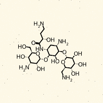 NCC[C@H](O)C(=O)N[C@@H]1C[C@H](N)[C@@H](O[C@H]2O[C@H](CN)[C@@H](O)[C@@H](O)[C@@H]2O)[C@@H](O)[C@H]1O[C@H]1O[C@H](CO)[C@@H](O)[C@@H](N)[C@H]1O